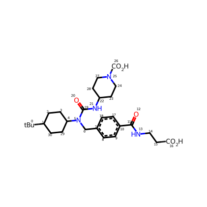 CC(C)(C)C1CCC(N(Cc2ccc(C(=O)NCCC(=O)O)cc2)C(=O)NC2CCN(C(=O)O)CC2)CC1